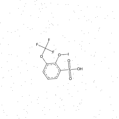 O=S(=O)(O)c1cccc(OC(F)(F)F)c1OI